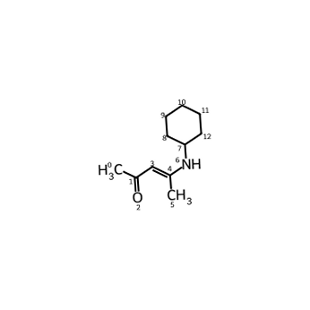 CC(=O)C=C(C)NC1CCCCC1